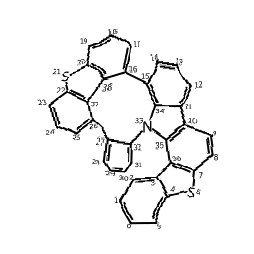 c1ccc2c(c1)sc1ccc3c4cccc5c6cccc7sc8cccc(c9ccccc9n(c54)c3c12)c8c76